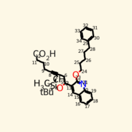 CC(C)(C)[Si](C)(C)OC(CC#CCCCC(=O)O)c1cc2ccccc2nc1OCCCCCc1ccccc1